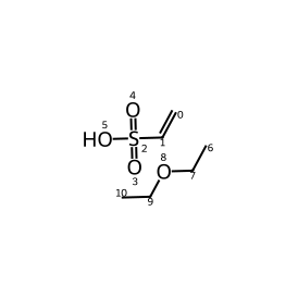 C=CS(=O)(=O)O.CCOCC